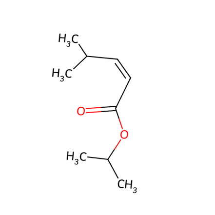 CC(C)/C=C\C(=O)OC(C)C